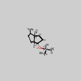 CCCC1CC[C@H]2[C@@H](O[Si](C(C)C)(C(C)C)C(C)C)CC[C@@H]12